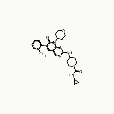 Cc1ccccc1-c1cc2cnc(NC3CCN(C(=O)NC4CC4)CC3)nc2n(C2CCOCC2)c1=O